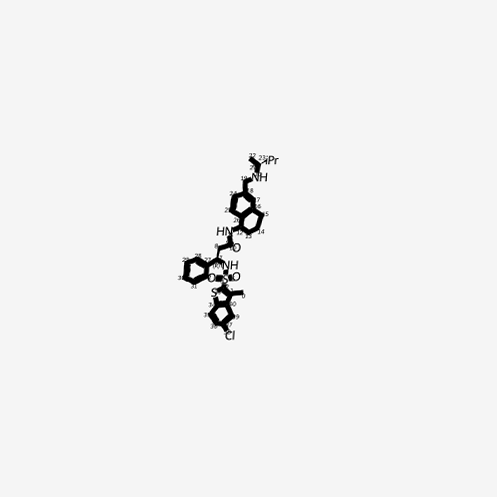 Cc1c(S(=O)(=O)N[C@H](CC(=O)NC2CCCc3cc(CN[C@H](C)C(C)C)ccc32)c2ccccc2)sc2ccc(Cl)cc12